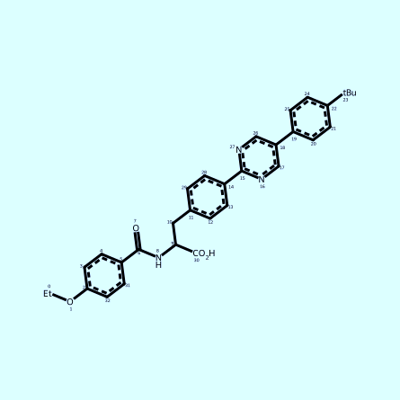 CCOc1ccc(C(=O)NC(Cc2ccc(-c3ncc(-c4ccc(C(C)(C)C)cc4)cn3)cc2)C(=O)O)cc1